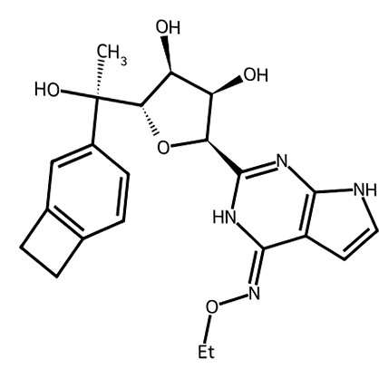 CCON=c1[nH]c([C@H]2O[C@H]([C@](C)(O)c3ccc4c(c3)CC4)[C@@H](O)[C@H]2O)nc2[nH]ccc12